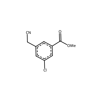 COC(=O)c1cc(Cl)cc(CC#N)c1